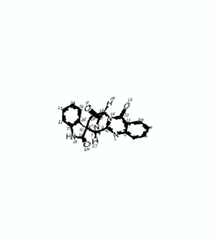 O=C1N[C@@H]2c3nc4ccccc4c(=O)n3[C@H]1C[C@@]21C(=O)Nc2ccccc21